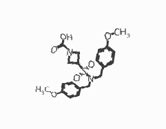 COc1ccc(CN(Cc2ccc(OC)cc2)S(=O)(=O)C2CN(C(=O)O)C2)cc1